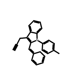 C#CCc1c(/C=C2/C=CC=CC2)n(-c2ccc(C)cc2)c2ccccc12